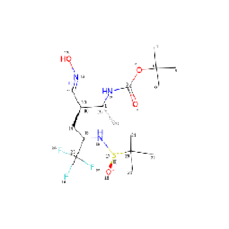 C[C@@H](NC(=O)OC(C)(C)C)[C@H](/C=N/O)CC(N[S@+]([O-])C(C)(C)C)C(F)(F)F